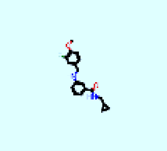 COc1ccc(CNc2cccc(C(=O)NCC3CC3)c2)cc1F